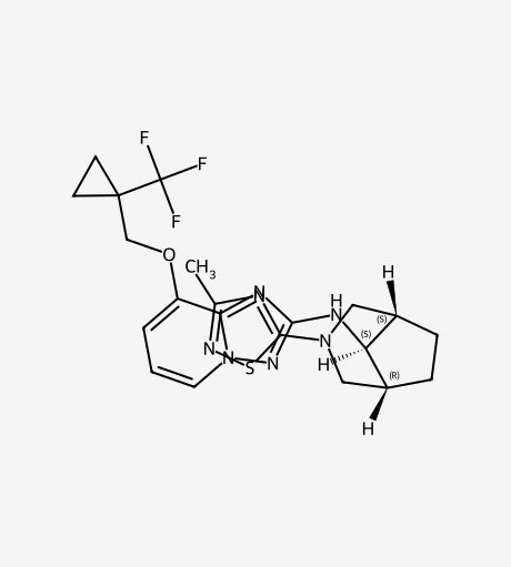 Cc1nsc(N2C[C@H]3CC[C@@H](C2)[C@@H]3Nc2nc3c(OCC4(C(F)(F)F)CC4)cccn3n2)n1